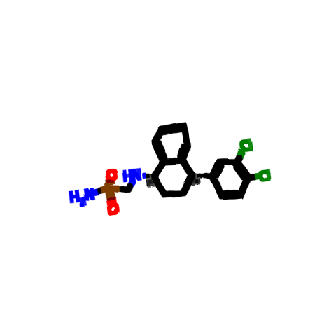 NS(=O)(=O)CN[C@H]1CC[C@@H](c2ccc(Cl)c(Cl)c2)c2ccccc21